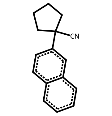 N#CC1(c2ccc3ccccc3c2)CCCC1